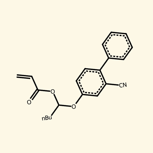 C=CC(=O)OC(CCCC)Oc1ccc(-c2ccccc2)c(C#N)c1